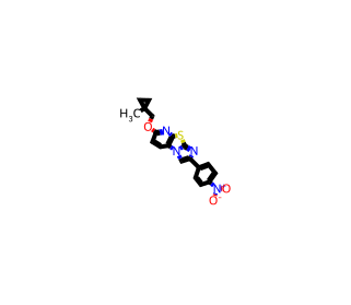 CC1(COc2ccc3c(n2)sc2nc(-c4ccc([N+](=O)[O-])cc4)cn23)CC1